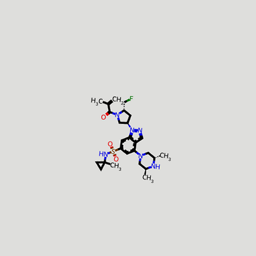 C=C(C)C(=O)N1C[C@H](n2ncc3c(N4C[C@H](C)N[C@@H](C)C4)cc(S(=O)(=O)NC4(C)CC4)cc32)C[C@H]1CF